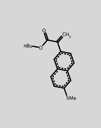 C=C(C(=O)OCCCC)c1ccc2cc(SC)ccc2c1